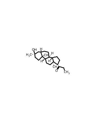 CCC(=O)[C@H]1CC[C@H]2[C@@H]3CC[C@H]4C[C@](C)(O)CC[C@]4(C)[C@H]3CC[C@]12C